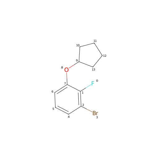 Fc1c(Br)cccc1OC1CCCC1